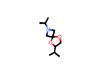 CC(C)C1COC2(CN(C(C)C)C2)O1